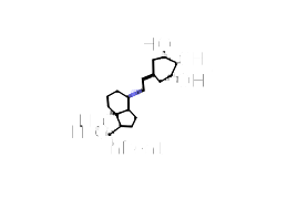 CCCCC[C@@H](C)C1CCC2/C(=C/C=C3C[C@@H](O)C(C)[C@H](O)C3)CCC[C@@]21C